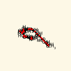 CC(=O)N(O)CCCCCNC(=O)CCC(=O)N(O)CCCCCNC(=O)CCC(=O)N(O)CCCCCNC(=S)Nc1ccc(NC(=S)NCCCC[C@H](NC(=O)[C@H](CC(=O)O)NC(=O)[C@H](CCC(=O)O)NC(=O)CC[C@H](NC(=O)c2ccc(NCc3cnc4nc(N)[nH]c(=O)c4n3)cc2)C(=O)O)C(=O)O)cc1